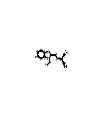 CCN1C(=CC=C(C#N)C#N)Sc2ccccc21